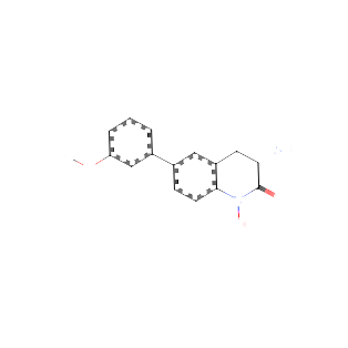 COc1cccc(-c2ccc3c(c2)C[C@H](N)C(=O)N3O)c1